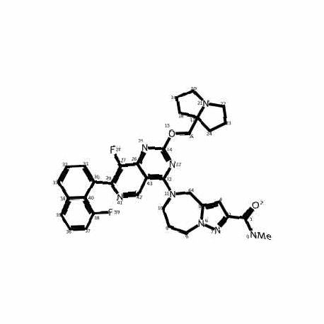 CNC(=O)c1cc2n(n1)CCCN(c1nc(OCC34CCCN3CCC4)nc3c(F)c(-c4cccc5cccc(F)c45)ncc13)C2